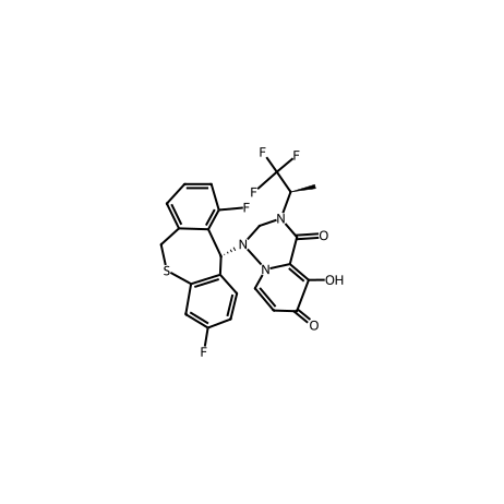 C[C@@H](N1CN([C@@H]2c3ccc(F)cc3SCc3cccc(F)c32)n2ccc(=O)c(O)c2C1=O)C(F)(F)F